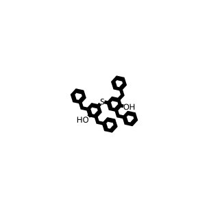 Oc1c(Cc2ccccc2)cc(Sc2cc(Cc3ccccc3)c(O)c(Cc3ccccc3)c2)cc1Cc1ccccc1